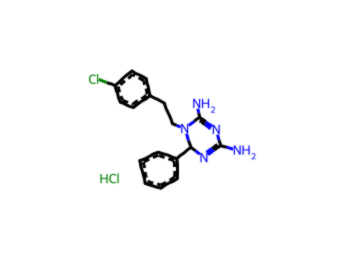 Cl.NC1=NC(c2ccccc2)N(CCc2ccc(Cl)cc2)C(N)=N1